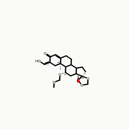 COCO[C@H]1CC2C(CC[C@@]23OCOC32COCO2)C2CCC3=CC(=O)/C(=C\O)C[C@]3(C)C21